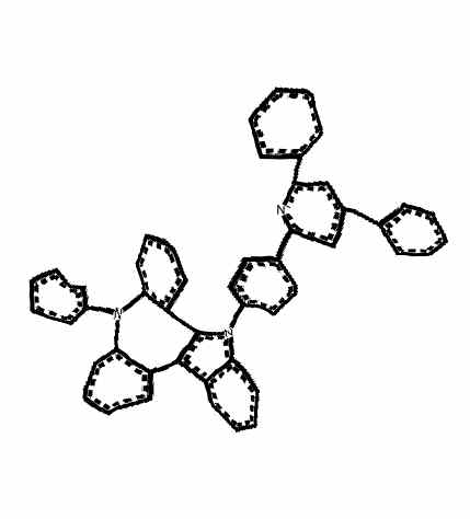 c1ccc(-c2cc(-c3ccccc3)nc(-c3ccc(-n4c5c(c6ccccc64)-c4ccccc4N(c4ccccc4)c4ccccc4-5)cc3)c2)cc1